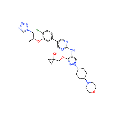 C[C@@H](Cn1cnnn1)Oc1cc(-c2cnc(Nc3cn([C@H]4CC[C@H](N5CCOCC5)CC4)nc3OCC3(O)CC3)nc2)ccc1Cl